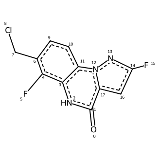 O=c1[nH]c2c(F)c(CCl)ccc2n2nc(F)cc12